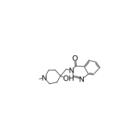 CN1CCC(O)(Cn2cnc3ccccc3c2=O)CC1